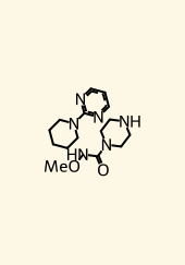 CONC(=O)N1CCNCC1.c1cnc(N2CCCCC2)nc1